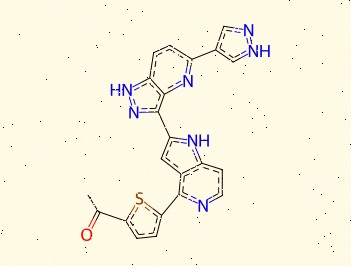 CC(=O)c1ccc(-c2nccc3[nH]c(-c4n[nH]c5ccc(-c6cn[nH]c6)nc45)cc23)s1